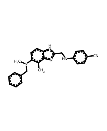 Cc1c(N(C)Cc2ccccc2)ccc2[nH]c(CNc3ccc(C#N)cc3)nc12